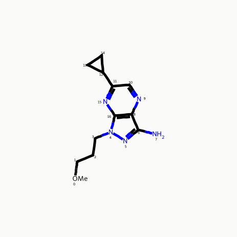 COCCCn1nc(N)c2ncc(C3CC3)nc21